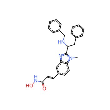 Cn1c(C(Cc2ccccc2)NCc2ccccc2)nc2cc(C=CC(=O)NO)ccc21